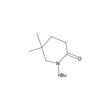 CCCCN1CC(C)(C)CCC1=O